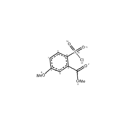 COC(=O)c1cc(OC)ccc1S(=O)(=O)Cl